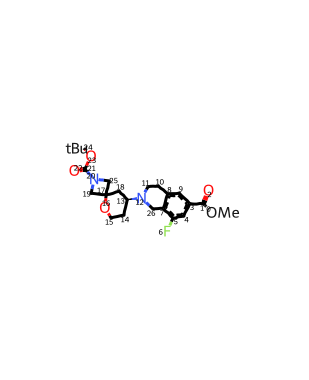 COC(=O)c1cc(F)c2c(c1)CCN([C@H]1CCOC3(C1)CN(C(=O)OC(C)(C)C)C3)C2